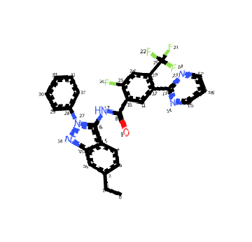 CCc1ccc2c(NC(=O)c3cc(-c4ncccn4)c(C(F)(F)F)cc3F)n(-c3ccccc3)nc2c1